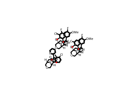 COc1cc(-c2nnc3n2C[C@@H]2COC[C@H]3N2C(=O)c2ccc(F)c(Cl)c2Cl)ncc1F.COc1cc(-c2nnc3n2C[C@@H]2COC[C@H]3N2C(=O)c2cccc(C(F)(F)F)c2Cl)ncc1F.O=C(c1cccc(Cl)c1Cl)N1[C@H]2COC[C@@H]1c1nnc(-c3ccccn3)n1C2